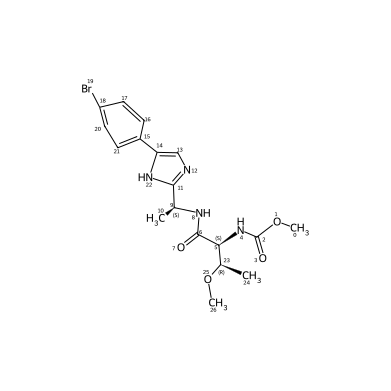 COC(=O)N[C@H](C(=O)N[C@@H](C)c1ncc(-c2ccc(Br)cc2)[nH]1)[C@@H](C)OC